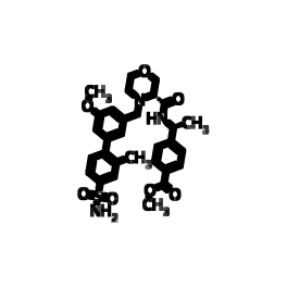 COC(=O)c1ccc([C@H](C)NC(=O)[C@H]2COCCN2Cc2cc(OC)cc(-c3ccc(S(N)(=O)=O)cc3C)c2)cc1